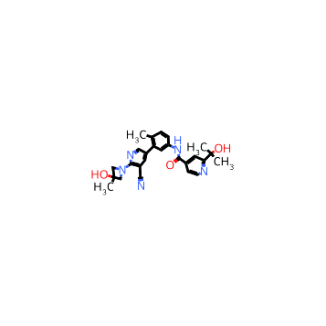 Cc1ccc(NC(=O)c2ccnc(C(C)(C)O)c2)cc1-c1cnc(N2CC(C)(O)C2)c(C#N)c1